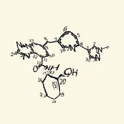 Cn1cc(-c2ccc(Cc3cc(C(=O)N[C@H]4CCCC[C@@H]4O)c4ncnn4c3)cn2)cn1